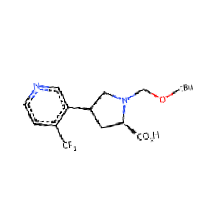 CC(C)(C)OCN1CC(c2cnccc2C(F)(F)F)C[C@@H]1C(=O)O